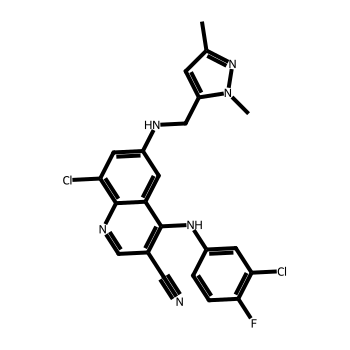 Cc1cc(CNc2cc(Cl)c3ncc(C#N)c(Nc4ccc(F)c(Cl)c4)c3c2)n(C)n1